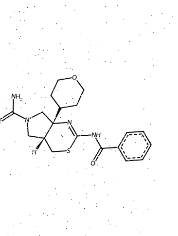 N=C(N)N1C[C@H]2CSC(NC(=O)c3ccccc3)=N[C@@]2(C2CCOCC2)C1